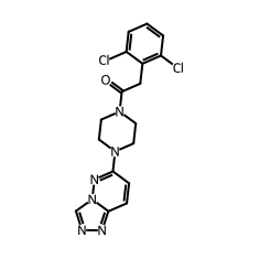 O=C(Cc1c(Cl)cccc1Cl)N1CCN(c2ccc3nncn3n2)CC1